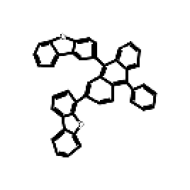 c1ccc(-c2c3ccccc3c(-c3ccc4oc5ccccc5c4c3)c3cc(-c4cccc5c4oc4ccccc45)ccc23)cc1